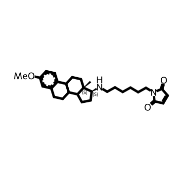 COc1ccc2c(c1)CCC1C2CC[C@@]2(C)C1CC[C@@H]2NCCCCCCN1C(=O)C=CC1=O